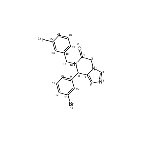 O=C1Cn2cncc2C(c2cccc(Br)c2)N1Cc1cccc(F)c1